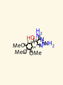 COc1cc(C(O)c2cnc(N)nc2N)cc(OC)c1OC